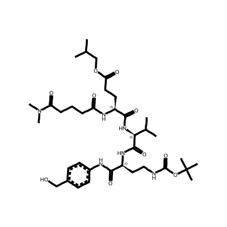 CC(C)COC(=O)CC[C@H](NC(=O)CCCC(=O)N(C)C)C(=O)N[C@H](C(=O)N[C@@H](CCNC(=O)OC(C)(C)C)C(=O)Nc1ccc(CO)cc1)C(C)C